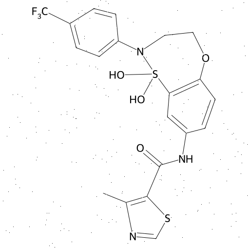 Cc1ncsc1C(=O)Nc1ccc2c(c1)S(O)(O)N(c1ccc(C(F)(F)F)cc1)CCO2